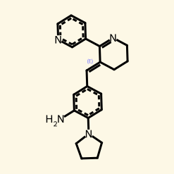 Nc1cc(/C=C2\CCCN=C2c2cccnc2)ccc1N1CCCC1